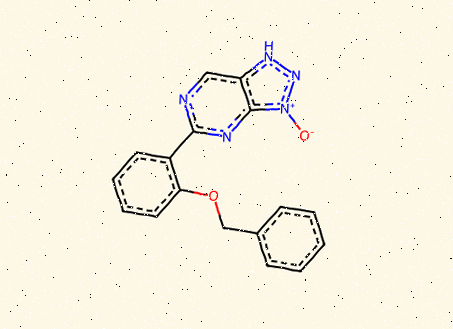 [O-][n+]1n[nH]c2cnc(-c3ccccc3OCc3ccccc3)nc21